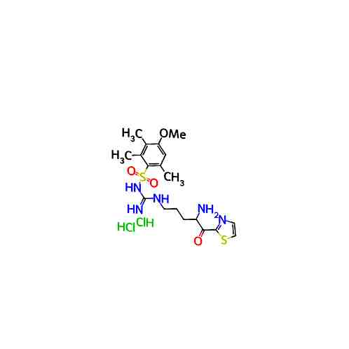 COc1cc(C)c(S(=O)(=O)NC(=N)NCCCC(N)C(=O)c2nccs2)c(C)c1C.Cl.Cl